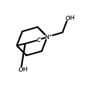 OC[N+]12CCC(CC1)C(O)C2